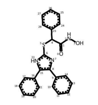 O=C(NO)C(Sc1nc(-c2ccccc2)c(-c2ccccc2)[nH]1)c1ccccc1